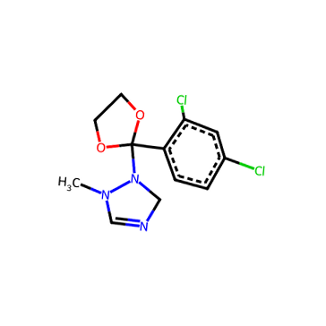 CN1C=NCN1C1(c2ccc(Cl)cc2Cl)OCCO1